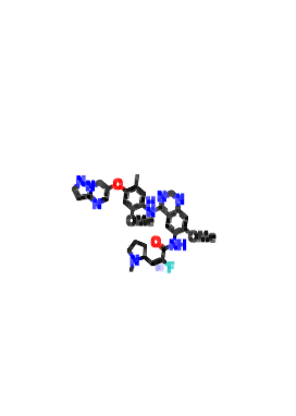 COc1cc2ncnc(Nc3cc(C)c(Oc4cnc5ccnn5c4)cc3OC)c2cc1NC(=O)/C(F)=C\C1CCCN1C